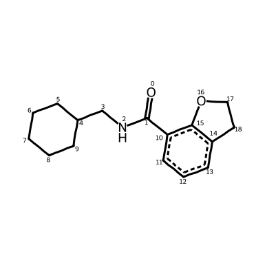 O=C(NCC1CCCCC1)c1cccc2c1OCC2